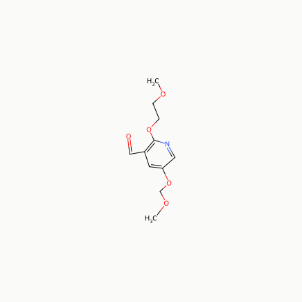 COCCOc1ncc(OCOC)cc1C=O